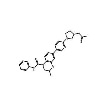 CC(=O)CC1CCN(c2ccc(-c3ccc4c(c3)OC(C)CN4C(=O)Nc3ccccc3)cn2)C1